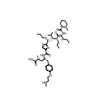 CCCO[C@H](C[C@H](C(C)C)N(CCC)C(=O)[C@@H](NC(=O)[C@H]1CCCCN1C)[C@@H](C)CC)c1nc(C(=O)N[C@@H](Cc2ccc(OCCNC)cc2)C[C@H](C)C(=O)O)cs1